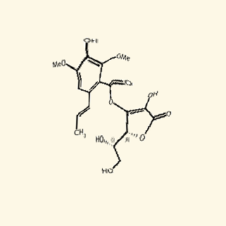 CC=Cc1cc(OC)c(O)c(OC)c1C(=O)OC1=C(O)C(=O)O[C@@H]1[C@@H](O)CO